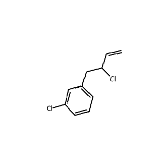 C=CC(Cl)Cc1cccc(Cl)c1